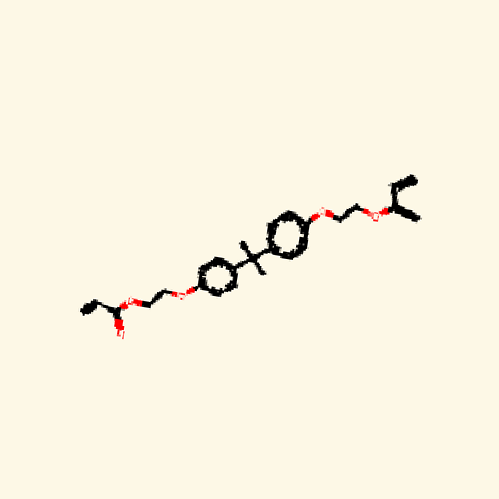 C=CC(=C)OCCOc1ccc(C(C)(C)c2ccc(OCCOC(=O)C=C)cc2)cc1